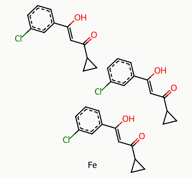 O=C(/C=C(\O)c1cccc(Cl)c1)C1CC1.O=C(/C=C(\O)c1cccc(Cl)c1)C1CC1.O=C(/C=C(\O)c1cccc(Cl)c1)C1CC1.[Fe]